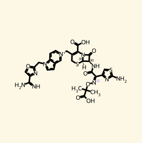 CC(C)(O/N=C(\C(=O)N[C@@H]1C(=O)N2C(C(=O)O)=C(C[n+]3ccc4c(ccn4Cc4nc(C(=N)N)co4)c3)CS[C@H]12)c1csc(N)n1)C(=O)O